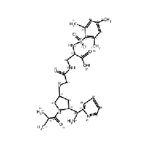 Cc1cc(C)c(S(=O)(=O)NC(CNC(=O)COC2CC(C(N)c3ccccn3)N(C(=O)C(C)C)C2)C(=O)O)c(C)c1